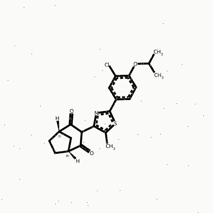 Cc1sc(-c2ccc(OC(C)C)c(Cl)c2)nc1C1C(=O)[C@@H]2CC[C@@H](C2)C1=O